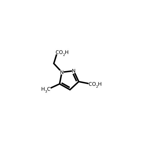 Cc1cc(C(=O)O)nn1CC(=O)O